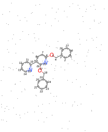 c1ccc(COc2ccc(-c3ccccn3)c(OCc3ccccc3)n2)cc1